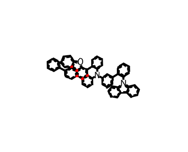 c1ccc(-c2ccc(-c3cccc(N(c4cccc(-c5ccccc5-n5c6ccccc6c6ccccc65)c4)c4ccccc4-c4cccc5c4oc4ccccc45)c3)cc2)cc1